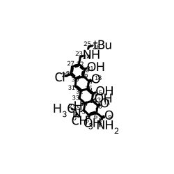 CN(C)[C@@H]1C(O)=C(C(N)=O)C(=O)[C@@]2(O)C(O)=C3C(=O)c4c(O)c(CNCC(C)(C)C)cc(Cl)c4C=C3C[C@@H]12